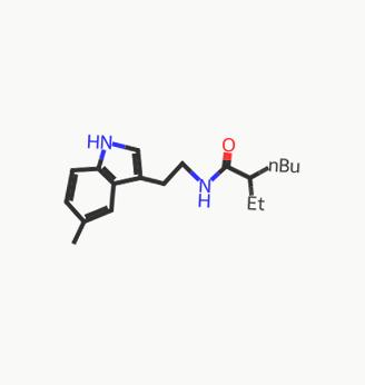 CCCCC(CC)C(=O)NCCc1c[nH]c2ccc(C)cc12